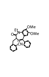 CCN1C(=O)C(Cc2ccccc2C#N)N=C(c2ccccc2)c2cc(OC)c(OC)cc21